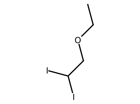 CCOCC(I)I